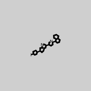 Ic1ccc(-c2ccc3cc(-c4ccc(-c5cccc6ccccc56)nc4)cnc3c2)cc1